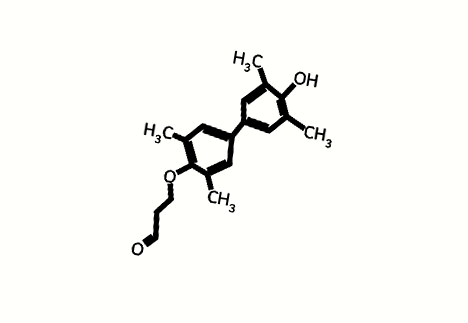 Cc1cc(-c2cc(C)c(OCCC=O)c(C)c2)cc(C)c1O